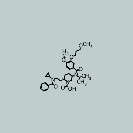 COCCCOc1cc(C(=O)N(C(C)C)[C@@H]2CC[C@H](CCN(C(=O)c3ccccc3)C3CC3)N(C(=O)O)C2)ccc1OC